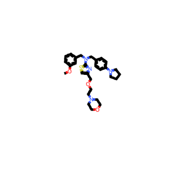 COc1cccc(CN(Cc2ccc(N3CCCC3)cc2)c2nc(COCCN3CCOCC3)cs2)c1